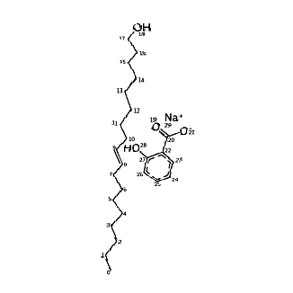 CCCCCCCCC=CCCCCCCCCO.O=C([O-])c1ccccc1O.[Na+]